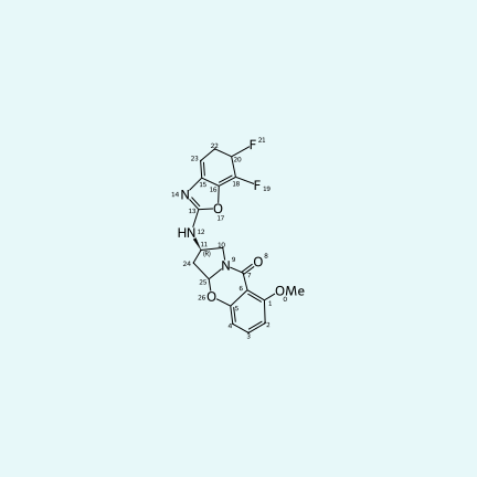 COc1cccc2c1C(=O)N1C[C@H](Nc3nc4c(o3)=C(F)C(F)CC=4)CC1O2